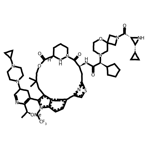 CO[C@@H](C)C1=C(c2c3c4cc(ccc4n2CC(F)(F)F)-c2csc(n2)C[C@H](NC(=O)[C@H](C2CCCC2)N2CCOC4(CN(C(=O)[C@@H]5N[C@@H]5C5CC5)C4)C2)C(=O)N2CCC[C@H](N2)C(=O)OCC(C)(C)C3)CC(N2CCN(C3CC3)CC2)C=N1